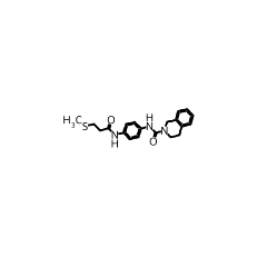 CSCCC(=O)Nc1ccc(NC(=O)N2CCc3ccccc3C2)cc1